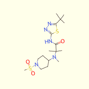 CN(C1CCN(S(C)(=O)=O)CC1)C(C)(C)C(=O)Nc1nnc(C(C)(C)C)s1